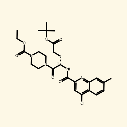 CCOC(=O)N1CCN(C(=O)[C@H](CCC(=O)OC(C)(C)C)NC(=O)c2cc(Cl)c3ccc(C)cc3n2)CC1